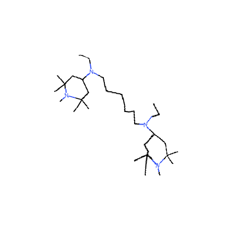 CCN(CCCCCCN(CC)C1CC(C)(C)N(C)C(C)(C)C1)C1CC(C)(C)N(C)C(C)(C)C1